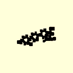 CNC1(CC=O)CN(c2ccc(-c3ccc(Cl)cc3Cl)cn2)CCN1C(=O)O